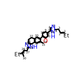 CCC=CCc1ncc(-c2ccc3c(c2)OCc2cc4c(cc2-3)CCc2nc(CC=C(C)CC)[nH]c2-4)[nH]1